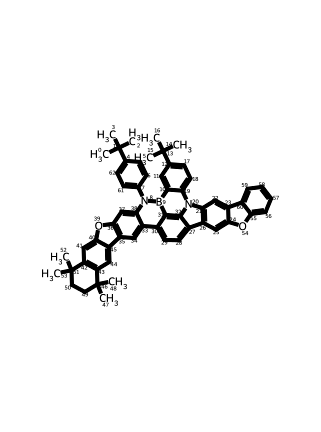 CC(C)(C)c1ccc(N2B3c4cc(C(C)(C)C)ccc4-n4c5cc6c(cc5c5ccc(c3c54)-c3cc4c(cc32)oc2cc3c(cc24)C(C)(C)CCC3(C)C)oc2ccccc26)cc1